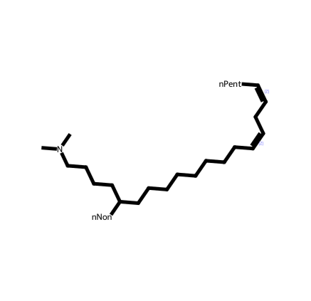 CCCCC/C=C\C/C=C\CCCCCCCCC(CCCCCCCCC)CCCCN(C)C